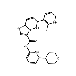 CC1=C(C2C=CC3NC=C(C(=O)NC4=CC=CC(N5CCOCC5)N4)N3N2)C=CCN1